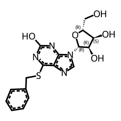 OC[C@H]1O[C@@H](n2cnc3c(SCc4ccccc4)nc(O)nc32)[C@H](O)[C@@H]1O